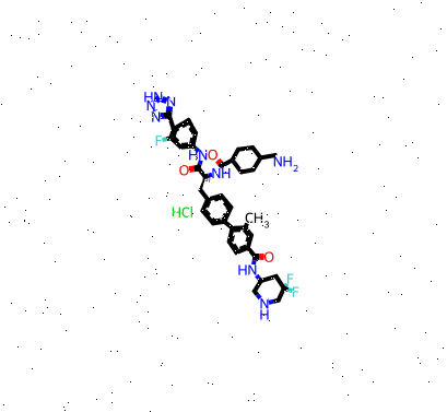 Cc1cc(C(=O)NC2CNCC(F)(F)C2)ccc1-c1ccc(C[C@H](NC(=O)C2CCC(CN)CC2)C(=O)Nc2ccc(-c3nn[nH]n3)c(F)c2)cc1.Cl